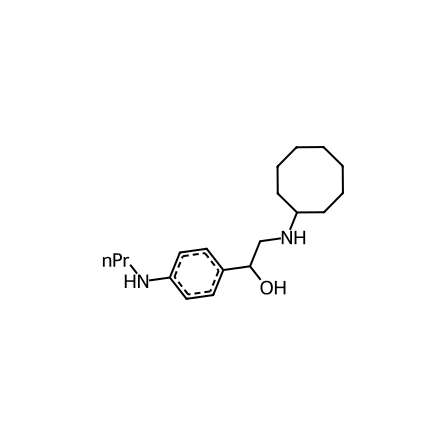 CCCNc1ccc(C(O)CNC2CCCCCCC2)cc1